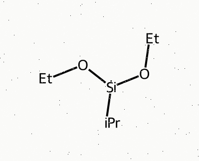 CCO[Si](OCC)C(C)C